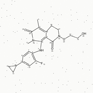 Cc1c2c(c(Nc3ccc(C4CC4)cc3F)n(C)c1=O)C(=O)N(OCCO)CC2